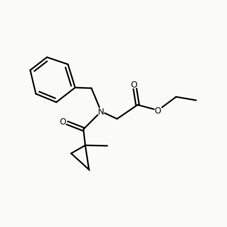 CCOC(=O)CN(Cc1ccccc1)C(=O)C1(C)CC1